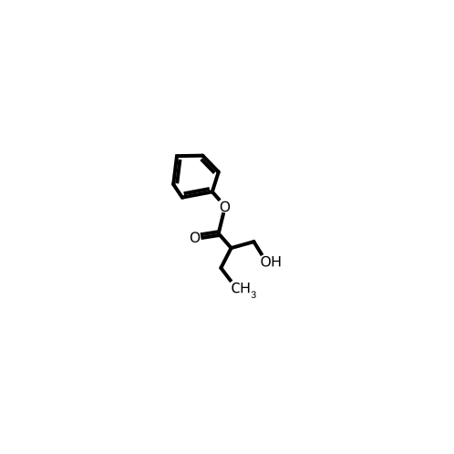 CCC(CO)C(=O)Oc1ccccc1